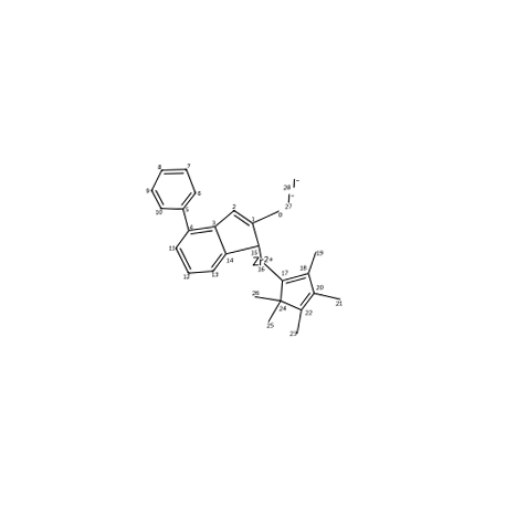 CC1=Cc2c(-c3ccccc3)cccc2[CH]1[Zr+2][C]1=C(C)C(C)=C(C)C1(C)C.[I-].[I-]